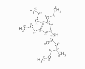 CCOc1cc(NC(=O)OC(C)COC)cc(COC)c1OCC